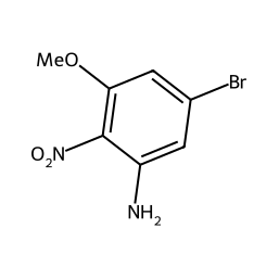 COc1cc(Br)cc(N)c1[N+](=O)[O-]